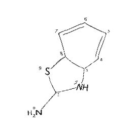 NC1NC2C=CC=CC2S1